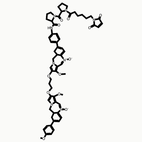 COc1ccc(C2=CC=C3C(C2)Cn2cc(OCCCOc4cn5c(c4OC)C=[N+]([O-])C4=CC=C(c6ccc(NC(=O)C7CCCN7C(=O)C7CCCN7C(=O)CCCCCN7C(=O)C=CC7=O)cc6)CC4C5)c(OC)c2C=[N+]3[O-])cc1